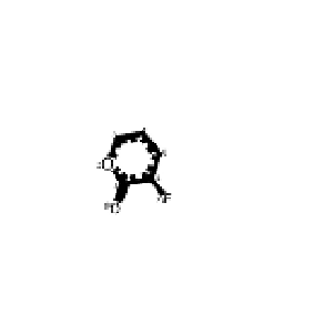 O=c1occcc1F